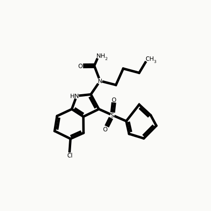 CCCCN(C(N)=O)c1[nH]c2ccc(Cl)cc2c1S(=O)(=O)c1ccccc1